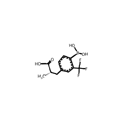 C[C@@H](Cc1ccc(B(O)O)c(C(F)(F)F)c1)C(=O)O